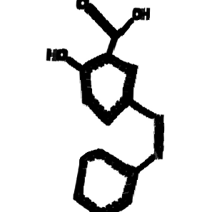 O=C(O)c1cc(/N=N\c2ccccc2)ccc1O